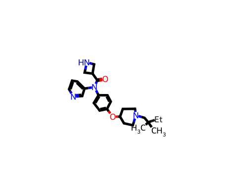 CCC(C)(C)CN1CCC(Oc2ccc(N(C(=O)C3CNC3)c3cccnc3)cc2)CC1